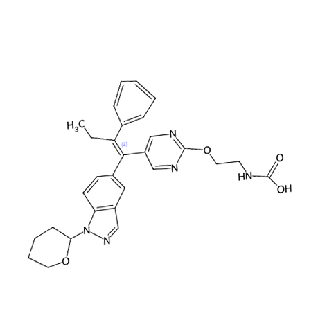 CC/C(=C(/c1cnc(OCCNC(=O)O)nc1)c1ccc2c(cnn2C2CCCCO2)c1)c1ccccc1